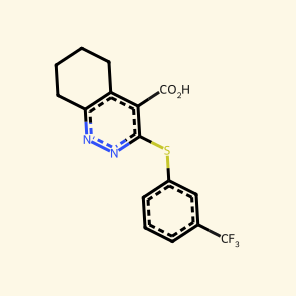 O=C(O)c1c(Sc2cccc(C(F)(F)F)c2)nnc2c1CCCC2